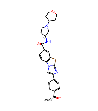 CNC(=O)c1ccc(-c2cn3c(n2)sc2cc(C(=O)N[C@H]4CCN(C5CCOCC5)C4)ccc23)cc1